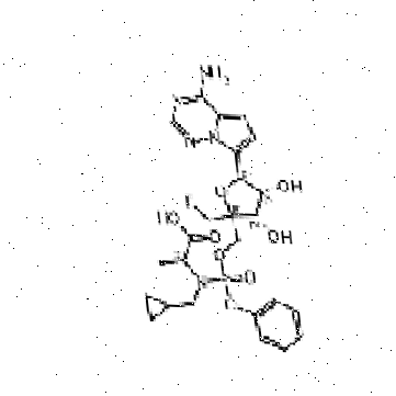 C[C@@H](C(=O)O)N(CC1CC1)P(=O)(OC[C@@]1(CF)O[C@@H](c2ccc3c(N)ncnn23)[C@H](O)[C@@H]1O)Oc1ccccc1